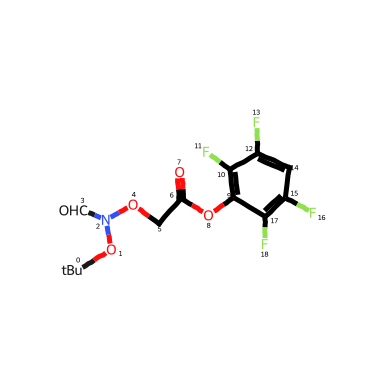 CC(C)(C)ON(C=O)OCC(=O)Oc1c(F)c(F)cc(F)c1F